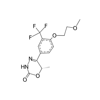 COCCOc1ccc(C2=NNC(=O)O[C@H]2C)cc1C(F)(F)F